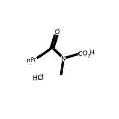 CCCC(=O)N(C)C(=O)O.Cl